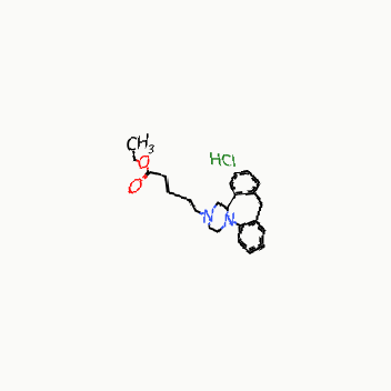 CCOC(=O)CCCCN1CCN2c3ccccc3Cc3ccccc3C2C1.Cl